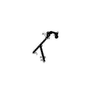 Cc1nnc(-c2ccc(CCCCCN3C(=O)CC(C4CCCCCC4)C3=O)cc2)c2c1CC[C@@H](OC(=O)NCCOCCOCCOCCN(CCOCCOCCOCCN)C(=O)CCOCCOCCOCCOCCNC(=O)CCNC=O)CCC2